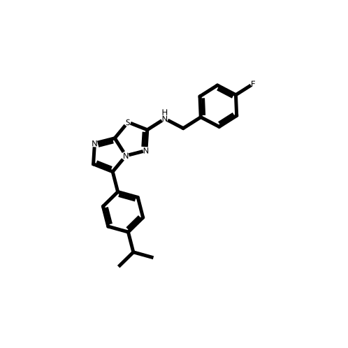 CC(C)c1ccc(-c2cnc3sc(NCc4ccc(F)cc4)nn23)cc1